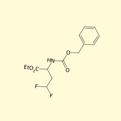 CCOC(=O)C(CC(F)F)NC(=O)OCc1ccccc1